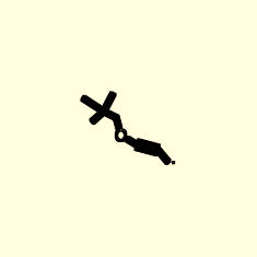 [CH2]C#COCC(C)(C)C